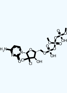 COP(=O)(O)OP(=O)(OC)OP(=O)(O)OC[C@H]1O[C@@H](n2ccc(N)nc2=O)C(Cl)(Cl)[C@@H]1O